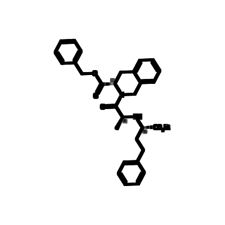 CCOC(=O)[C@H](CCc1ccccc1)N[C@@H](C)C(=O)N1Cc2ccccc2C[C@H]1C(=O)OCc1ccccc1